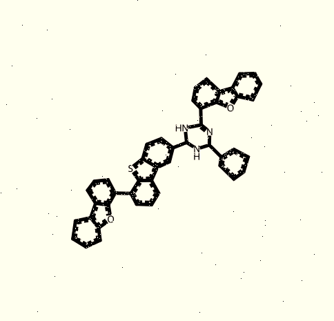 c1ccc(C2N=C(c3cccc4c3oc3ccccc34)NC(c3ccc4sc5c(-c6cccc7c6oc6ccccc67)cccc5c4c3)N2)cc1